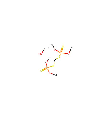 CCOP(=S)(OCC)SCSP(=S)(OCC)OCC.O=CO